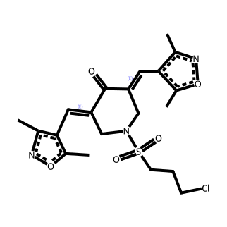 Cc1noc(C)c1/C=C1\CN(S(=O)(=O)CCCCl)C/C(=C\c2c(C)noc2C)C1=O